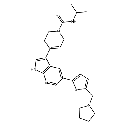 CC(C)NC(=O)N1CC=C(c2c[nH]c3ncc(-c4ccc(CN5CCCC5)s4)cc23)CC1